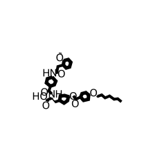 CCCCCCCOc1ccc(C(=O)Oc2ccc(C[C@H](NC(=O)c3ccc(NC(=O)Cc4ccccc4OC)cc3)C(=O)O)cc2)cc1